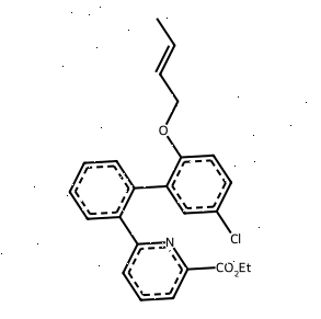 CC=CCOc1ccc(Cl)cc1-c1ccccc1-c1cccc(C(=O)OCC)n1